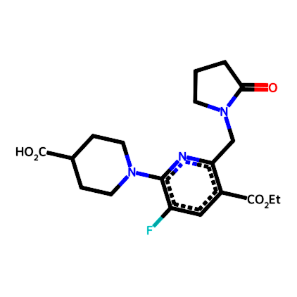 CCOC(=O)c1cc(F)c(N2CCC(C(=O)O)CC2)nc1CN1CCCC1=O